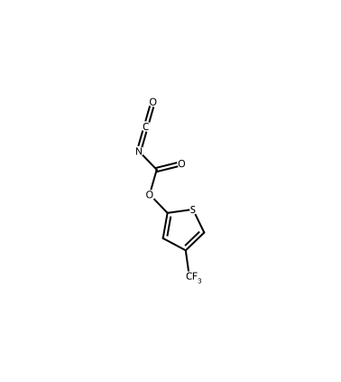 O=C=NC(=O)Oc1cc(C(F)(F)F)cs1